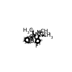 CCCCN(c1cc(F)ccc1-c1nnc(C)n1CC)S(=O)(=O)c1ccccc1